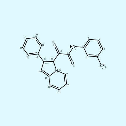 O=C(Nc1cccc(C(F)(F)F)c1)C(=O)c1c(-c2cccnc2)cc2ccccn12